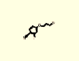 N#Cc1ccc(OCCCBr)cc1F